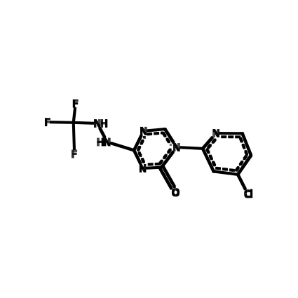 O=c1nc(NNC(F)(F)F)ncn1-c1cc(Cl)ccn1